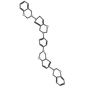 C1=CC2OCN(c3ccc(N4COC5=CCC(N6COc7ccccc7C6)C=C5C4)cc3)CC2C=C1N1COc2ccccc2C1